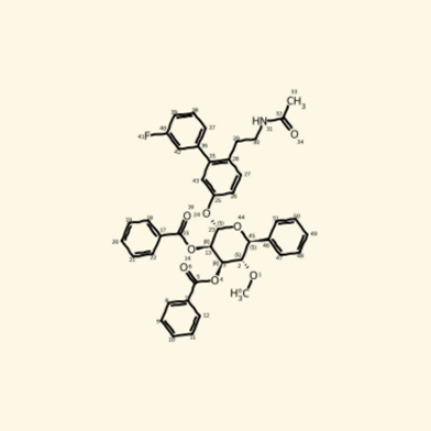 CO[C@@H]1[C@@H](OC(=O)c2ccccc2)[C@@H](OC(=O)c2ccccc2)[C@H](Oc2ccc(CCNC(C)=O)c(-c3cccc(F)c3)c2)O[C@H]1c1ccccc1